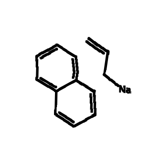 C=C[CH2][Na].c1ccc2ccccc2c1